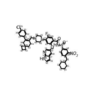 O=C(N[S+]([O-])c1ccc(CC2CCCCC2)c([N+](=O)[O-])c1)c1cc(F)c(N2CCN(CC3=C(c4ccc(Cl)cc4)CC4(CCC4)CC3)CC2)cc1Oc1cnc2[nH]ccc2c1